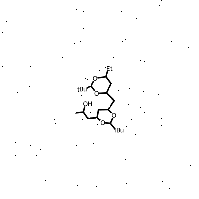 CCC1CC(CC2CC(CC(C)O)OC(C(C)CC)O2)OC(C(C)(C)C)O1